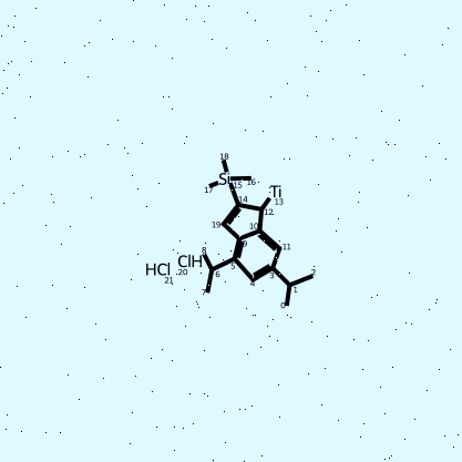 CC(C)c1cc(C(C)C)c2c(c1)[CH]([Ti])C([Si](C)(C)C)=C2.Cl.Cl